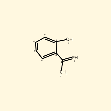 CC(=P)c1ccccc1O